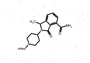 CCCCCCN1CCC(N2C(=O)c3c(C(N)=O)cccc3C2C)CC1